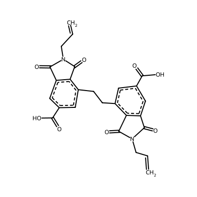 C=CCN1C(=O)c2cc(C(=O)O)cc(CCc3cc(C(=O)O)cc4c3C(=O)N(CC=C)C4=O)c2C1=O